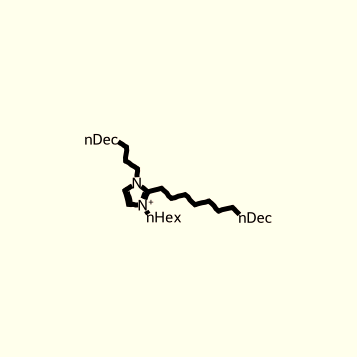 CCCCCCCCCCCCCCCCCc1n(CCCCCCCCCCCCC)cc[n+]1CCCCCC